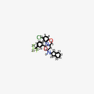 CN(CCC1COc2ccc(Cl)cc2N1C(=O)c1cccc(C(F)(F)F)c1)C1Cc2ccccc2C1